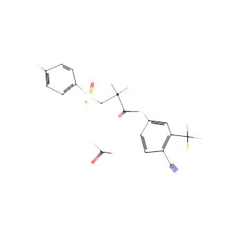 CC(=O)O.CC(O)(CS(=O)(=O)c1ccc(F)cc1)C(=O)Nc1ccc(C#N)c(C(F)(F)F)c1